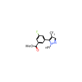 CCCn1ncc(C(F)(F)F)c1-c1cc(F)cc(C(=O)OC)c1